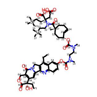 CCc1c2c(nc3ccc(OC(=O)N(C)CCN(C)C(=O)O[C@H]4/C=C/CC[C@@](C)(C(=O)N(CC[Si](C)(C)C)[C@@](CC[Si](C)(C)C)(CC(=O)O)C(=O)O)CC4)cc13)-c1cc3c(c(=O)n1C2)COC(=O)[C@]3(O)CC